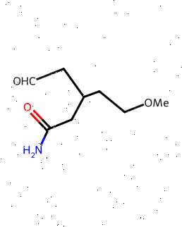 COCCC(CC=O)CC(N)=O